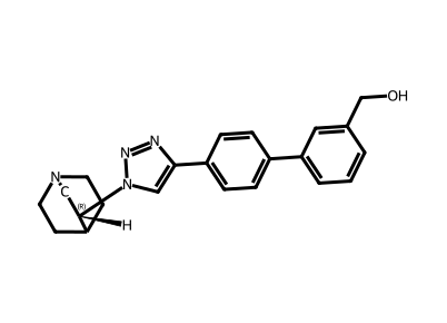 OCc1cccc(-c2ccc(-c3cn([C@H]4CN5CCC4CC5)nn3)cc2)c1